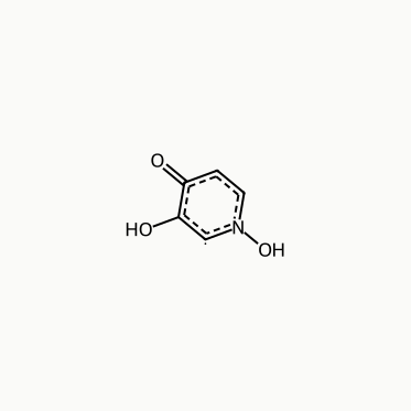 O=c1ccn(O)[c]c1O